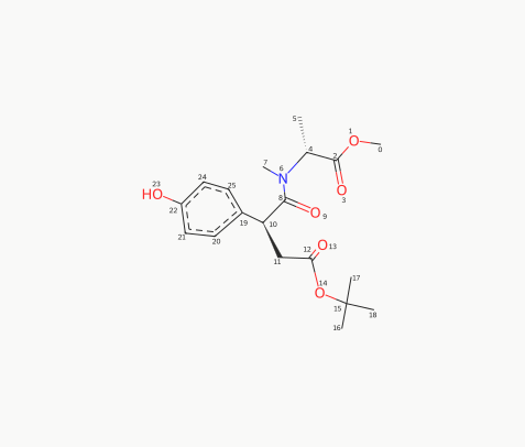 COC(=O)[C@@H](C)N(C)C(=O)[C@@H](CC(=O)OC(C)(C)C)c1ccc(O)cc1